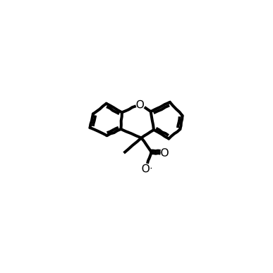 CC1(C([O])=O)c2ccccc2Oc2ccccc21